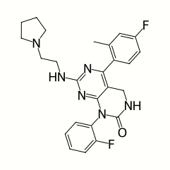 Cc1cc(F)ccc1-c1nc(NCCN2CCCC2)nc2c1CNC(=O)N2c1ccccc1F